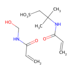 C=CC(=O)NC(C)(C)CS(=O)(=O)O.C=CC(=O)NCO